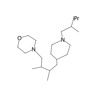 CC(C)C(C)CN1CCC(CC(C)C(C)CN2CCOCC2)CC1